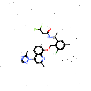 Cc1cc(Cl)c(COc2cccc3c(-n4ncnc4C)cc(C)nc23)c([C@H](C)NC(=O)CC(F)F)c1